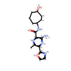 Cc1nc(C(=O)NC2CCCC(O)CC2)c(N)nc1-c1ncco1